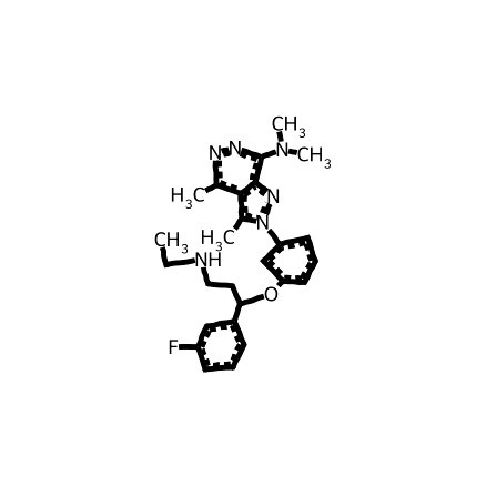 CCNCCC(Oc1cccc(-n2nc3c(N(C)C)nnc(C)c3c2C)c1)c1cccc(F)c1